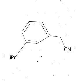 CC(C)c1cccc(CC#N)c1